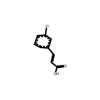 O=C(O)/C=C/c1c[c]cc(Cl)c1